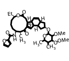 CC[C@H]1CCC[C@H](NC(=O)c2ccco2)[C@@H](C)C(=O)C2=C[C@@H]3[C@@H](C=C[C@@H]4C[C@@H](OC5OC(C)C(C)C(OOC)C5OC)C[C@@H]34)[C@@H]2CC(=O)O1